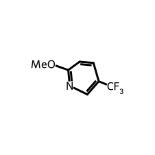 COc1ccc(C(F)(F)F)cn1